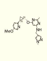 COc1ccc([C@H]2C[C@@H]2COc2cc(NCc3cnn(C)c3)nc(C)n2)nc1